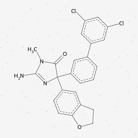 CN1C(=O)C(c2cccc(-c3cc(Cl)cc(Cl)c3)c2)(c2ccc3c(c2)CCO3)N=C1N